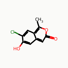 Cc1oc(=O)cc2cc(O)c(Cl)cc12